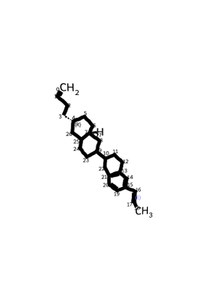 C=CCC[C@@H]1CC[C@@H]2CC(C3CCc4cc(/C=C/C)ccc4C3)CCC2C1